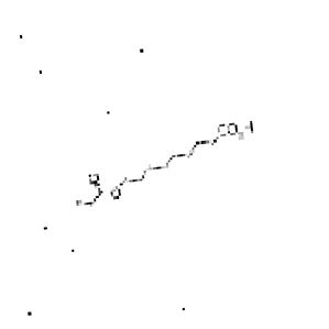 C=CC(=O)OCCCCCCCCC(=O)O